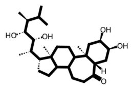 CC(C)[C@H](C)[C@@H](O)[C@H](O)[C@@H](C)[C@H]1CCC2C3CCC(=O)[C@H]4C[C@H](O)[C@H](O)C[C@]4(C)C3CC[C@@]21C